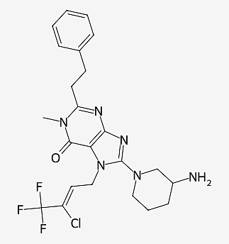 Cn1c(CCc2ccccc2)nc2nc(N3CCCC(N)C3)n(C/C=C(\Cl)C(F)(F)F)c2c1=O